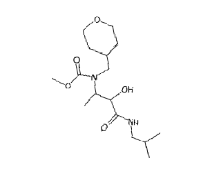 COC(=O)N(CC1CCOCC1)C(C)C(O)C(=O)NCC(C)C